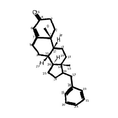 C[C@]12CCC(=O)C=C1CC[C@@H]1[C@H]2CC[C@]2(C)C(Cc3ccccc3)CC[C@@H]12